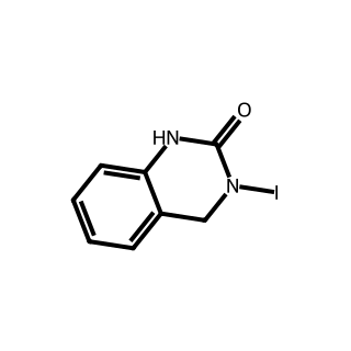 O=C1Nc2ccccc2CN1I